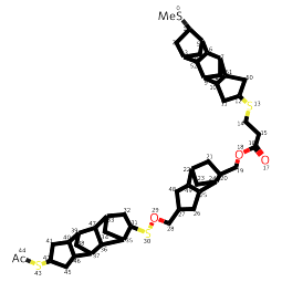 CSC1CC2CC1C1C3CC(C4CC(SCCC(=O)OCC5CC6CC5C5CC(COSC7CC8CC7C7C9CC(C%10CC(SC(C)=O)CC%109)C87)CC65)CC43)C21